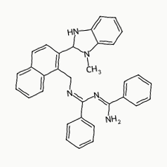 CN1c2ccccc2NC1c1ccc2ccccc2c1C/N=C(\N=C(/N)c1ccccc1)c1ccccc1